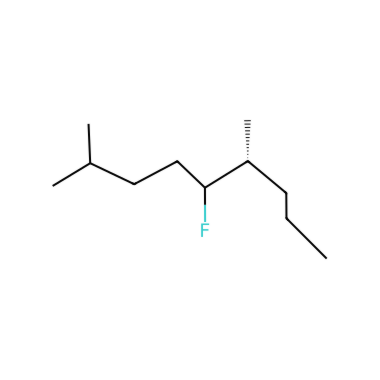 CCC[C@@H](C)C(F)CCC(C)C